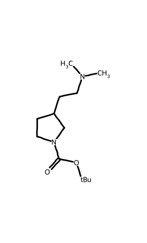 CN(C)CCC1CCN(C(=O)OC(C)(C)C)C1